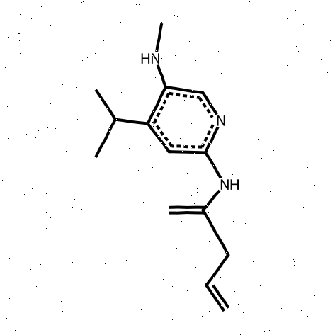 C=CCC(=C)Nc1cc(C(C)C)c(NC)cn1